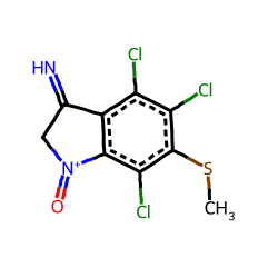 CSc1c(Cl)c(Cl)c2c(c1Cl)[N+](=O)CC2=N